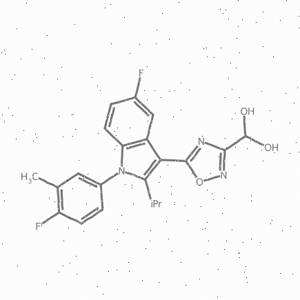 Cc1cc(-n2c(C(C)C)c(-c3nc(C(O)O)no3)c3cc(F)ccc32)ccc1F